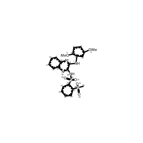 COc1ccc(OC)c(Nc2nc3ccccc3nc2NS(=O)(=O)c2ccccc2S(C)(=O)=O)c1